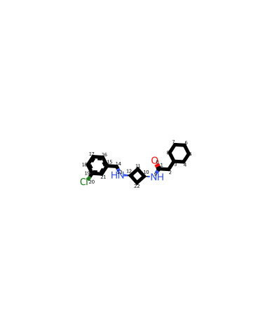 O=C(CC1CCCCC1)N[C@H]1C[C@H](NCc2cccc(Cl)c2)C1